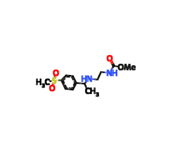 COC(=O)NCCNC(C)c1ccc(S(C)(=O)=O)cc1